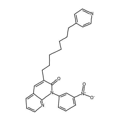 O=c1c(CCCCCCCc2ccncc2)cc2cccnc2n1-c1cccc([N+](=O)[O-])c1